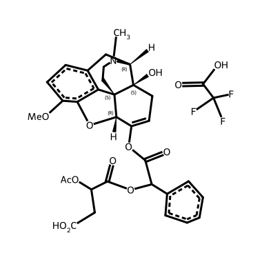 COc1ccc2c3c1O[C@H]1C(OC(=O)C(OC(=O)C(CC(=O)O)OC(C)=O)c4ccccc4)=CC[C@@]4(O)[C@@H](C2)N(C)CC[C@]314.O=C(O)C(F)(F)F